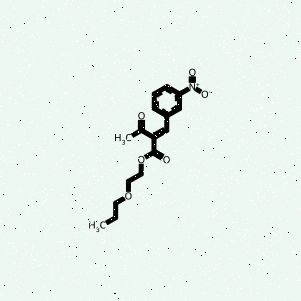 CCCOCCOC(=O)/C(=C/c1cccc([N+](=O)[O-])c1)C(C)=O